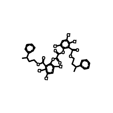 CC(CCOC(=O)c1c(Cl)c(Cl)cc(Cl)c1OC(=O)C(=O)Oc1c(Cl)cc(Cl)c(Cl)c1C(=O)OCCC(C)c1ccccc1)c1ccccc1